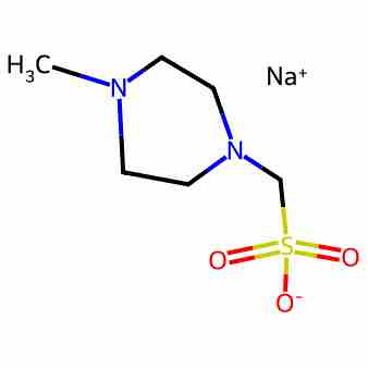 CN1CCN(CS(=O)(=O)[O-])CC1.[Na+]